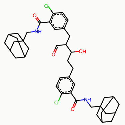 O=CC(Cc1ccc(Cl)c(C(=O)NCC23CC4CC(CC(C4)C2)C3)c1)C(O)CCc1ccc(Cl)c(C(=O)NCC23CC4CC(CC(C4)C2)C3)c1